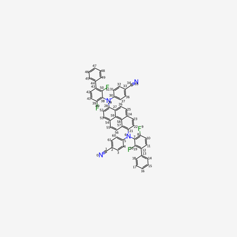 N#Cc1ccc(N(c2c(F)ccc(-c3ccccc3)c2F)c2ccc3ccc4c(N(c5ccc(C#N)cc5)c5c(F)ccc(-c6ccccc6)c5F)ccc5ccc2c3c54)cc1